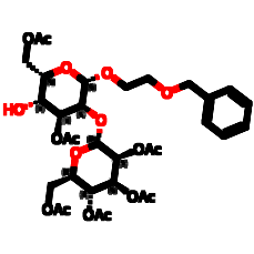 CC(=O)OC[C@@H]1O[C@H](OCCOCc2ccccc2)[C@@H](O[C@H]2O[C@H](COC(C)=O)[C@@H](OC(C)=O)[C@H](OC(C)=O)[C@@H]2OC(C)=O)[C@@H](OC(C)=O)[C@@H]1O